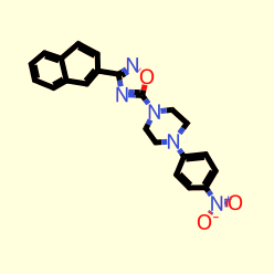 O=[N+]([O-])c1ccc(N2CCN(c3nc(-c4ccc5ccccc5c4)no3)CC2)cc1